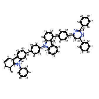 CC1CC=Cc2c1n(-c1ccccc1)c1cc(-c3ccc(-n4c5ccccc5c5c(-c6ccc(-c7cc(-c8ccccc8)nc(-c8ccccc8)n7)cc6)cccc54)cc3)ccc21